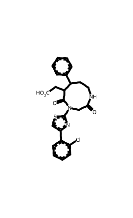 O=C(O)CC1C(=O)N(c2nc(-c3ccccc3Cl)cs2)CC(=O)NCCC1c1ccccc1